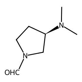 CN(C)[C@@H]1CCN(C=O)C1